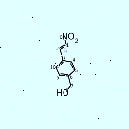 O=[N+]([O-])/C=C/c1ccc(CO)cc1